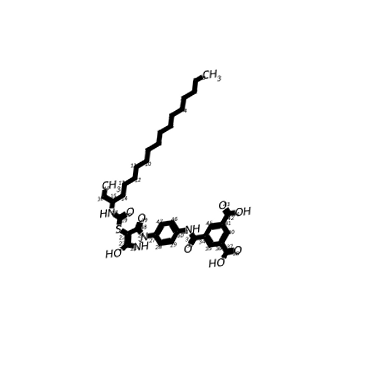 CCCCCCCCCCCCCCCC(CC)NC(=O)Sc1c(O)[nH]n(-c2ccc(NC(=O)c3cc(C(=O)O)cc(C(=O)O)c3)cc2)c1=O